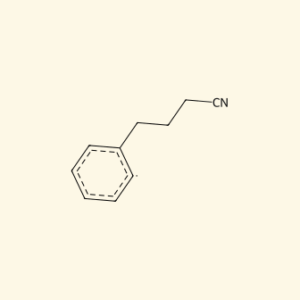 N#CCCCc1[c]cccc1